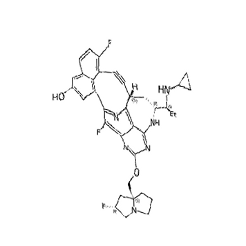 CC[C@H](NC1CC1)[C@H]1C[C@H]2C#Cc3c(F)ccc4cc(O)cc(c34)-c3nc2c2c(nc(OC[C@@]45CCCN4C[C@H](F)C5)nc2c3F)N1